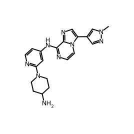 Cn1cc(-c2cnc3c(Nc4ccnc(N5CCC(N)CC5)c4)nccn23)cn1